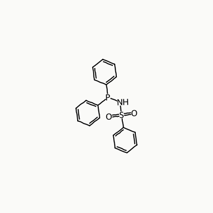 O=S(=O)(NP(c1ccccc1)c1ccccc1)c1ccccc1